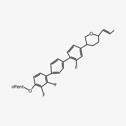 C/C=C/C1CCC(c2ccc(-c3ccc(-c4ccc(OCCCCC)c(F)c4F)cc3)c(F)c2)CO1